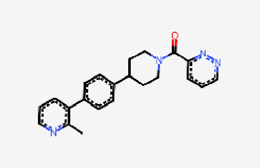 Cc1ncccc1-c1ccc(C2CCN(C(=O)c3cccnn3)CC2)cc1